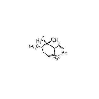 CC(=O)/C=C\C1C(C)=CCC(C)C1(C)C